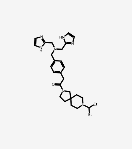 CCC(CC)N1CCC2(CCN(C(=O)Cc3ccc(CN(Cc4ncc[nH]4)Cc4ncc[nH]4)cc3)C2)CC1